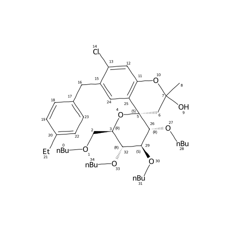 CCCCOC[C@H]1O[C@]2(CC(C)(O)Oc3cc(Cl)c(Cc4ccc(CC)cc4)cc32)[C@H](OCCCC)[C@@H](OCCCC)[C@@H]1OCCCC